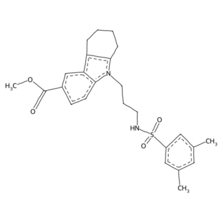 COC(=O)c1ccc2c(c1)c1c(n2CCCNS(=O)(=O)c2cc(C)cc(C)c2)CCCC1